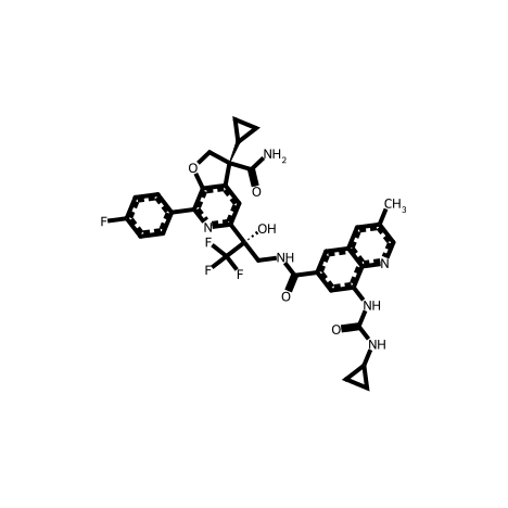 Cc1cnc2c(NC(=O)NC3CC3)cc(C(=O)NC[C@](O)(c3cc4c(c(-c5ccc(F)cc5)n3)OC[C@@]4(C(N)=O)C3CC3)C(F)(F)F)cc2c1